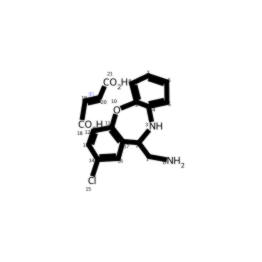 NCC1Nc2ccccc2Oc2ccc(Cl)cc21.O=C(O)/C=C/C(=O)O